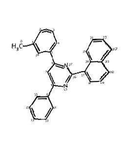 Cc1cccc(-c2cc(-c3ccccc3)nc(-c3cccc4ccccc34)n2)c1